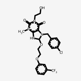 Cn1c2c(c(=O)n(CCO)c1=O)N(Cc1ccc(Cl)cc1)C(OCCOc1cccc(C(F)(F)F)c1)N2